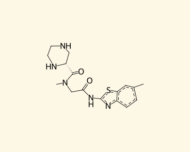 Cc1ccc2nc(NC(=O)CN(C)C(=O)[C@H]3CNCCN3)sc2c1